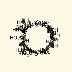 CCC1NC(=O)C/N=C(\SC)c2cc(cs2)CCNC(=O)[C@H](CCCNC(=N)N)NC(=O)[C@H](CCCNC(=N)N)NC(=O)[C@H](CC(=O)O)NC(=O)C(C(C)C)NC(=O)[C@H](CCC(N)=O)NC(=O)[C@H](CC(=O)O)NC(=O)CNC(=O)C([C@@H](C)CC)NC(=O)CNC(=O)[C@H](CO)NC(=O)[C@H](CC(C)C)NC(=O)C([C@@H](C)O)NC1=O